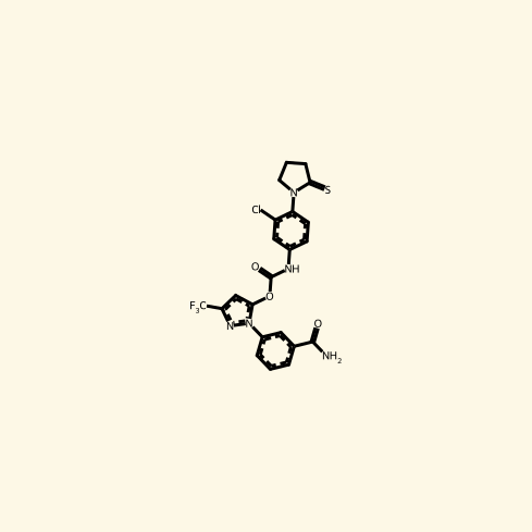 NC(=O)c1cccc(-n2nc(C(F)(F)F)cc2OC(=O)Nc2ccc(N3CCCC3=S)c(Cl)c2)c1